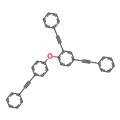 C(#Cc1ccc(Oc2ccc(C#Cc3ccccc3)cc2C#Cc2ccccc2)cc1)c1ccccc1